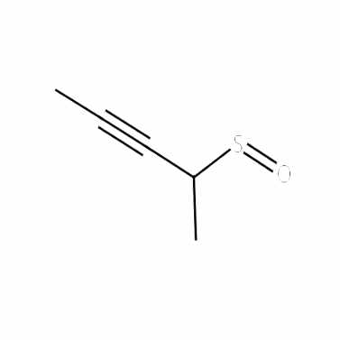 CC#CC(C)[S+]=O